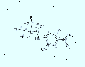 O=C(Nc1cc(Cl)c([N+](=O)[O-])cc1Cl)C(F)(C(F)(F)F)C(F)(F)F